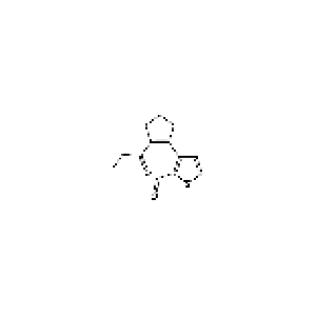 CCC(=O)C1=C(c2ccsc2C=O)CCC1